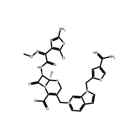 CO/N=C(\C(=O)N[C@@H]1C(=O)N2C(C(=O)[O-])=C(C[n+]3ccc4ccn(Cc5cc(C(=N)N)cs5)c4c3)CS[C@H]12)c1nc(N)sc1Cl